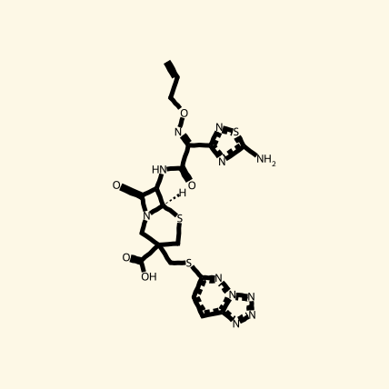 C=CCON=C(C(=O)NC1C(=O)N2CC(CSc3ccc4nnnn4n3)(C(=O)O)CS[C@H]12)c1nsc(N)n1